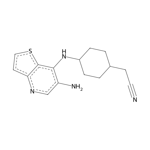 N#CCC1CCC(Nc2c(N)cnc3ccsc23)CC1